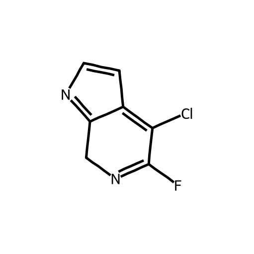 FC1=NCC2=NC=CC2=C1Cl